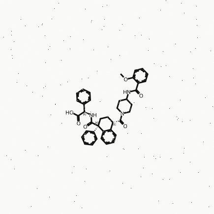 COc1ccccc1C(=O)NC1CCN(C(=O)[C@H]2CC[C@@](C(=O)N[C@@H](C(=O)O)c3ccccc3)(c3ccccc3)c3ccccc32)CC1